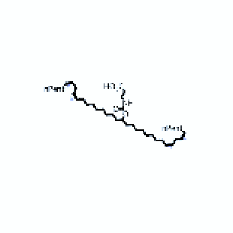 CCCCC/C=C\C/C=C\CCCCCCCCC(CCCCCCCC/C=C\C/C=C\CCCCC)OC(=O)NCCC(=O)O